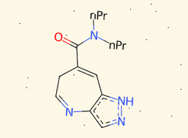 CCCN(CCC)C(=O)C1=Cc2[nH]ncc2N=CC1